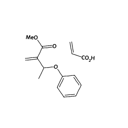 C=C(C(=O)OC)C(C)Oc1ccccc1.C=CC(=O)O